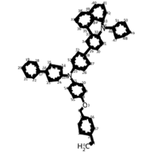 C=Cc1ccc(COc2ccc(N(c3ccc(-c4ccccc4)cc3)c3ccc(-c4ccc5c(c4)-c4cccc6cccc(c46)N5c4ccccc4)cc3)cc2)cc1